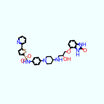 O=c1[nH]c2cccc(OC[C@@H](O)CNC3CCN(c4ccc(NS(=O)(=O)c5ccc(-c6ccccn6)s5)cc4)CC3)c2[nH]1